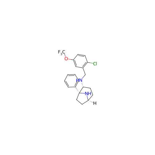 FC(F)(F)Oc1ccc(Cl)c(CN[C@@H]2CC[C@H]3CC[C@]2(c2ccccc2)N3)c1